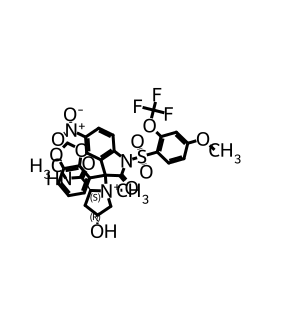 CNC(=O)[C@@H]1C[C@@H](O)C[N+]1(C)C1(c2cccc3c2OCO3)C(=O)N(S(=O)(=O)c2ccc(OC)cc2OC(F)(F)F)c2ccc([N+](=O)[O-])cc21